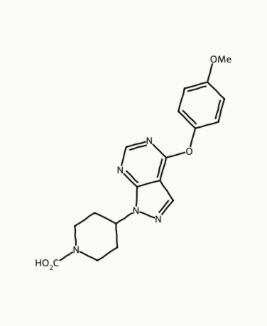 COc1ccc(Oc2ncnc3c2cnn3C2CCN(C(=O)O)CC2)cc1